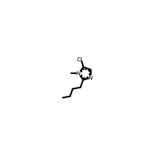 CCCCc1ncc(Cl)n1C